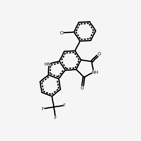 O=C1NC(=O)c2c1c(-c1ccccc1Cl)cc1[nH]c3ccc(C(F)(F)F)cc3c21